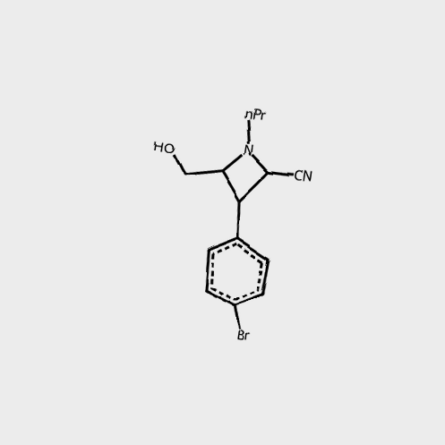 CCCN1C(C#N)C(c2ccc(Br)cc2)C1CO